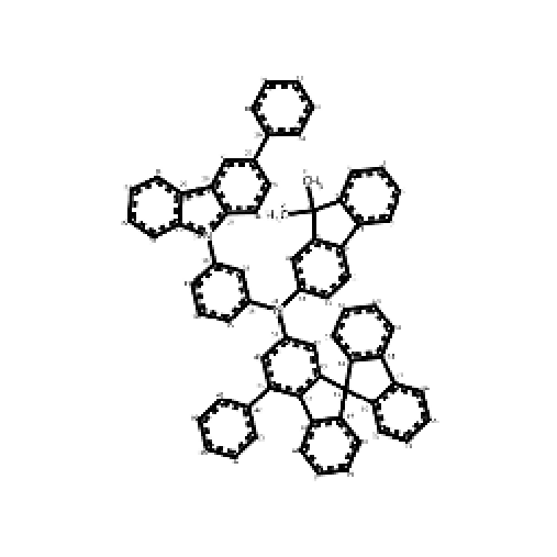 CC1(C)c2ccccc2-c2ccc(N(c3cccc(-n4c5ccccc5c5cc(-c6ccccc6)ccc54)c3)c3cc(-c4ccccc4)c4c(c3)C3(c5ccccc5-c5ccccc53)c3ccccc3-4)cc21